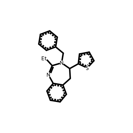 CCC1=Nc2ccccc2CC(c2cccs2)N1Cc1ccccc1